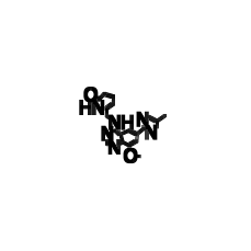 COc1cc(-c2ncc(C)cn2)cc2c(NCc3cccc(=O)[nH]3)ncnc12